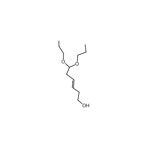 CCCOC(C/C=C/CCO)OCCC